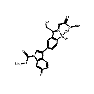 CC(C)(C)OC(=O)CN1C(CO)c2cc(-c3cn(C(=O)OC(C)(C)C)c4cc(F)ccc34)ccc2S1(O)O